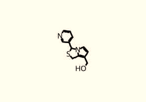 OCc1ccn2c1CSC2c1cccnc1